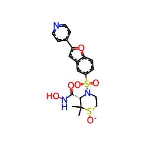 CC1(C)[C@H](C(=O)NO)N(S(=O)(=O)c2ccc3oc(-c4ccncc4)cc3c2)CC[S+]1[O-]